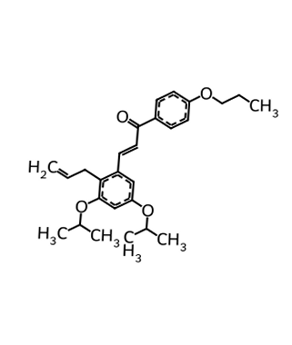 C=CCc1c(C=CC(=O)c2ccc(OCCC)cc2)cc(OC(C)C)cc1OC(C)C